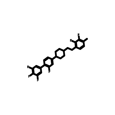 Cc1ccc(CCC2CCC(c3ccc(-c4cc(F)c(F)c(F)c4)c(F)c3)CC2)c(F)c1F